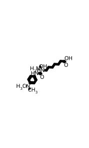 CN(C)c1ccc(NC(=O)NCCCCCCC(=O)O)cc1.NO